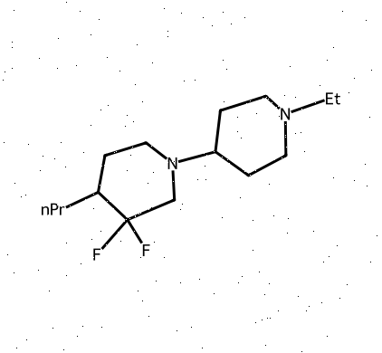 CCCC1CCN(C2CCN(CC)CC2)CC1(F)F